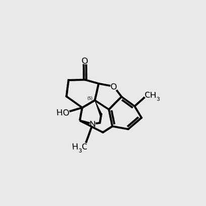 Cc1ccc2c3c1OC1C(=O)CCC4(O)C(C2)N(C)CC[C@]314